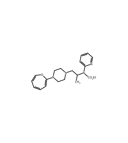 CCOC(=O)N(c1ccccn1)C(C)CN1CCN(C2=CC=CC=CO2)CC1